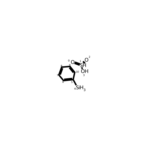 O=[SH](=O)O.[SiH3]c1ccccc1